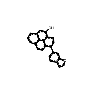 Oc1cc2cccc3ccc4c(-c5ccc6ccoc6c5)ccc1c4c32